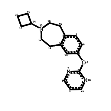 c1cnc(Oc2ccc3c(c2)CCN(C2CCC2)CC3)nc1